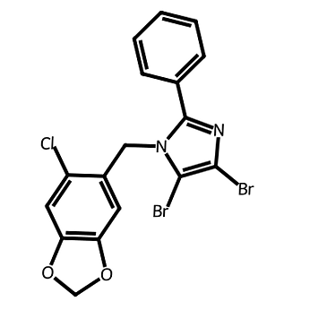 Clc1cc2c(cc1Cn1c(-c3ccccc3)nc(Br)c1Br)OCO2